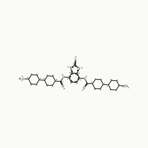 CC1CCC(C2CCC(C(=O)Oc3ccc(OC(=O)C4CCC(C5CCC(C)CC5)CC4)c4sc(=S)sc34)CC2)CC1